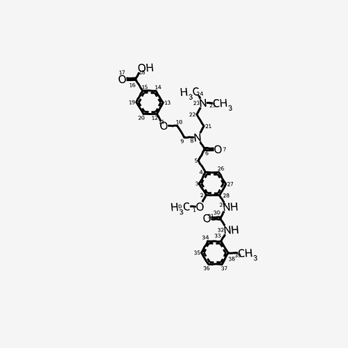 COc1cc(CC(=O)N(CCOc2ccc(C(=O)O)cc2)CCN(C)C)ccc1NC(=O)Nc1ccccc1C